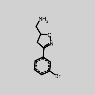 NCC1CC(c2cccc(Br)c2)=NO1